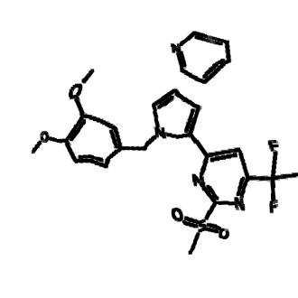 COc1ccc(Cn2cccc2-c2cc(C(C)(F)F)nc(S(C)(=O)=O)n2)cc1OC.c1ccncc1